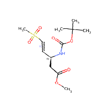 COC(=O)C[C@@H](/C=C/S(C)(=O)=O)NC(=O)OC(C)(C)C